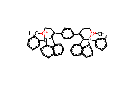 C[O+]1CCC(c2ccc(C3=C(c4ccccc4)[B-](c4ccccc4)(c4ccccc4)[O+](C)CC3)cc2)=C(c2ccccc2)[B-]1(c1ccccc1)c1ccccc1